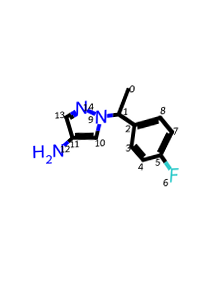 CC(c1ccc(F)cc1)n1cc(N)cn1